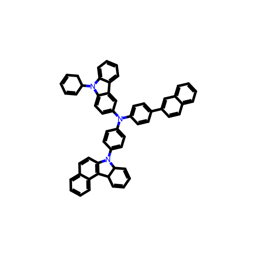 C1=CCC(n2c3ccccc3c3cc(N(c4ccc(-c5ccc6ccccc6c5)cc4)c4ccc(N5c6ccc7ccccc7c6C6C=CC=CC65)cc4)ccc32)C=C1